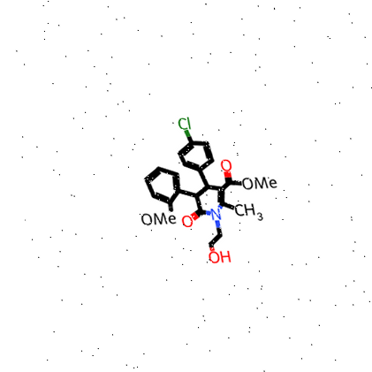 COC(=O)C1=C(C)N(CCO)C(=O)C(c2ccccc2OC)C1c1ccc(Cl)cc1